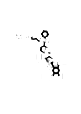 COCCCn1c(C2CCCN(C(=O)[C@@H]3CN(S(=O)(=O)c4cc(C)c(Cl)cc4C)C[C@H]3N)C2)nc2ccccc21